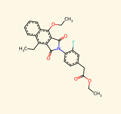 CCOC(=O)Cc1ccc(N2C(=O)c3c(c(OCC)c4ccccc4c3CC)C2=O)c(F)c1